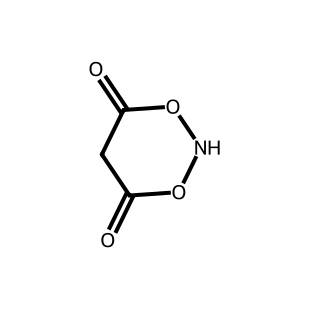 O=C1CC(=O)ONO1